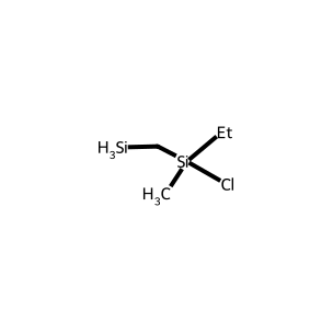 CC[Si](C)(Cl)C[SiH3]